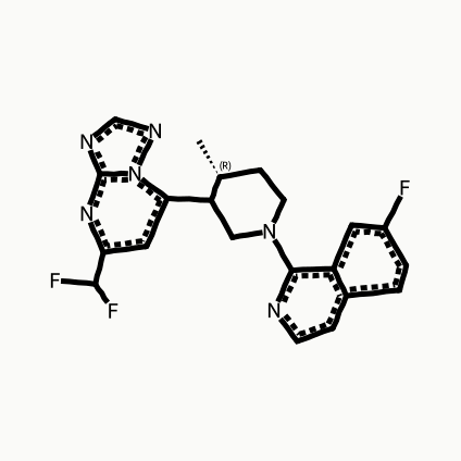 C[C@@H]1CCN(c2nccc3ccc(F)cc23)CC1c1cc(C(F)F)nc2ncnn12